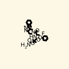 CN1N=C2CCN(C(=O)C(COc3ccccc3F)NC(=O)C(C)(C)OC(N)=O)C[C@@]2(Cc2ccccc2)C1=O